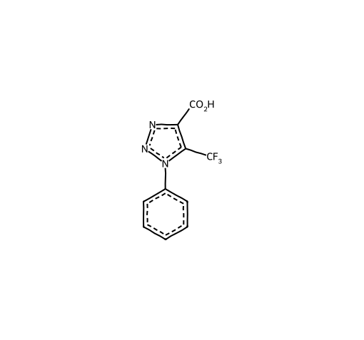 O=C(O)c1nnn(-c2ccccc2)c1C(F)(F)F